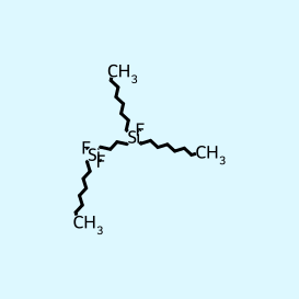 CCCCCCCC[Si](F)(F)CCCC[Si](F)(CCCCCCCC)CCCCCCCC